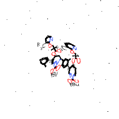 Cc1ccccc1[C@H]1CN(C(=O)OC(C)(C)C)C(c2ccc([C@@H]3CN(C(=O)OC(C)(C)C)CC[C@H]3OC(=O)C(C)(C)COc3ncccc3C(F)(F)F)c(C)c2)C[C@@H]1OC(=O)C(C)(C)COc1ncccc1C(F)(F)F